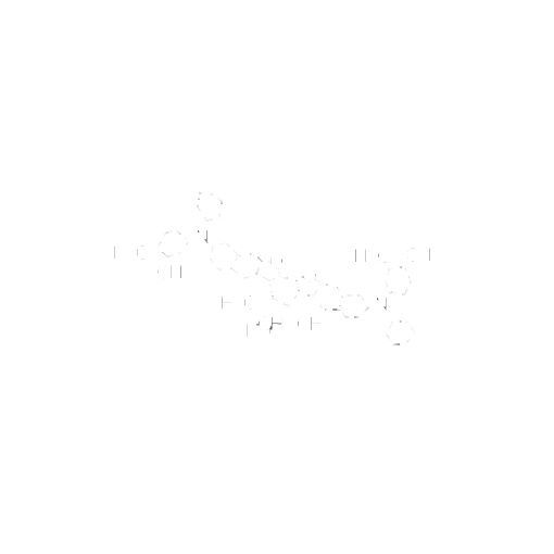 Cc1ccc(N(c2ccccc2)c2ccc3cc4c(cc3c2)oc2c3oc5cc6cc(N(c7ccccc7)c7ccc(C)c(C)c7)ccc6cc5c3c(C(C)C)c(C(C)C)c42)cc1C